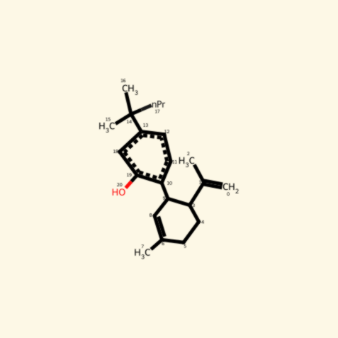 C=C(C)C1CCC(C)=CC1c1ccc(C(C)(C)CCC)cc1O